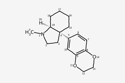 CN1CC[C@]2(c3ccc4c(c3)OCCO4)CCCC[C@H]12